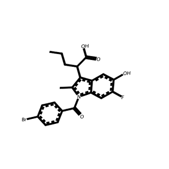 CCCC(C(=O)O)c1c(C)n(C(=O)c2ccc(Br)cc2)c2cc(F)c(O)cc12